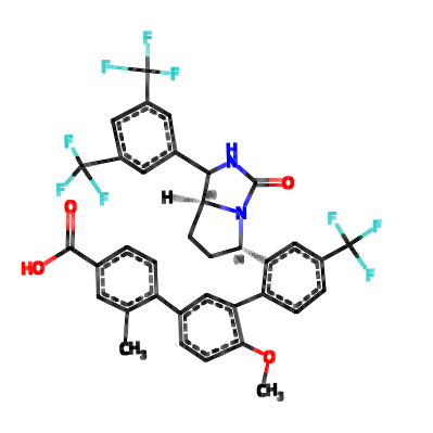 COc1ccc(-c2ccc(C(=O)O)cc2C)cc1-c1ccc(C(F)(F)F)cc1[C@@H]1CC[C@H]2C(c3cc(C(F)(F)F)cc(C(F)(F)F)c3)NC(=O)N12